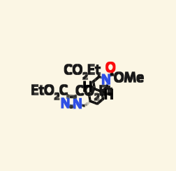 CCOC(=O)c1ncn(C[C@H]2CC[C@H]3CN(C(=O)OC)[C@H](C(=O)OCC)C[C@H]3C2)c1C(=O)OCC